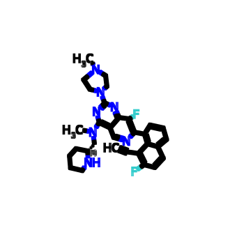 C#Cc1c(F)ccc2cccc(-c3ncc4c(N(C)C[C@H]5CCCCN5)nc(N5CCN(C)CC5)nc4c3F)c12